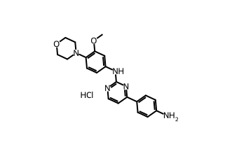 COc1cc(Nc2nccc(-c3ccc(N)cc3)n2)ccc1N1CCOCC1.Cl